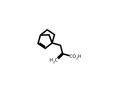 C=C(CC12C=CC(CC1)C2)C(=O)O